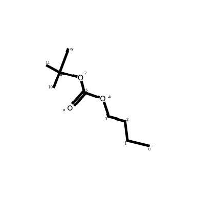 [CH2]CCCOC(=O)OC(C)(C)C